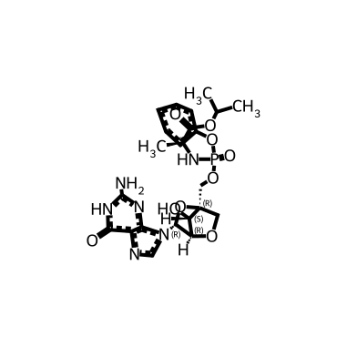 CC(C)OC(=O)[C@H](C)NP(=O)(OC[C@@]12CO[C@@H]([C@H](n3cnc4c(=O)[nH]c(N)nc43)O1)[C@@H]2O)Oc1ccccc1